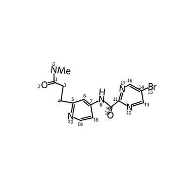 CNC(=O)CCc1cc(NC(=O)c2ncc(Br)cn2)ccn1